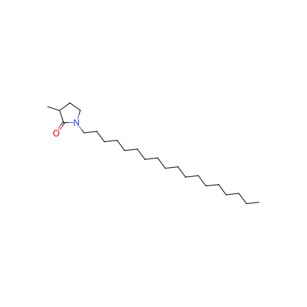 CCCCCCCCCCCCCCCCCCN1CCC(C)C1=O